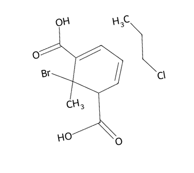 CC1(Br)C(C(=O)O)=CC=CC1C(=O)O.CCCCl